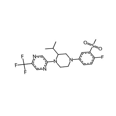 CC(C)C1CN(c2ccc(F)c(S(C)(=O)=O)c2)CCN1c1cnc(C(F)(F)F)cn1